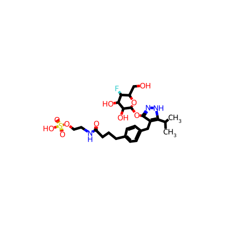 CC(C)c1[nH]nc(OC2OC(CO)C(F)C(O)C2O)c1Cc1ccc(CCCC(=O)NCCOS(=O)(=O)O)cc1